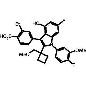 CCc1cc(-c2c(C3(COC)CCC3)n(-c3ccc(F)c(OC)c3)c3cc(F)cc(O)c23)ccc1C(=O)O